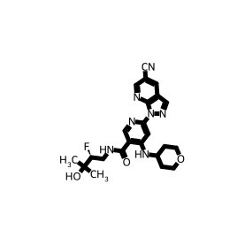 CC(C)(O)[C@H](F)CNC(=O)c1cnc(-n2ncc3cc(C#N)cnc32)cc1NC1CCOCC1